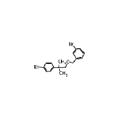 CCc1ccc(C(C)(C)COCc2cccc(Br)c2)cc1